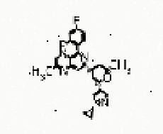 Cc1cnc2c(-c3ccc(F)cc3F)nc([C@H]3C[C@@H](c4cnn(C5CC5)c4)O[C@@H](C)C3)cc2n1